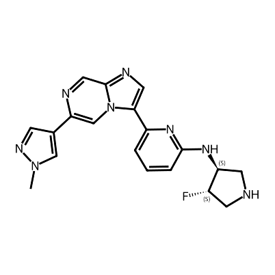 Cn1cc(-c2cn3c(-c4cccc(N[C@H]5CNC[C@@H]5F)n4)cnc3cn2)cn1